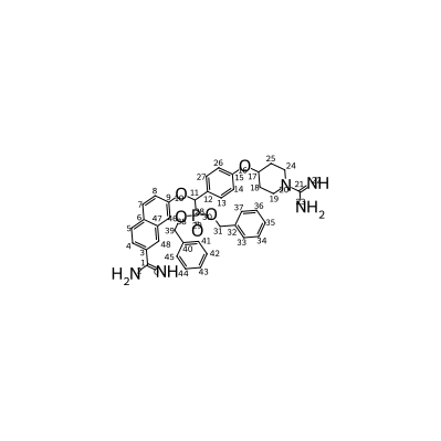 N=C(N)c1ccc2ccc(OC(c3ccc(OC4CCN(C(=N)N)CC4)cc3)P(=O)(OCc3ccccc3)OCc3ccccc3)cc2c1